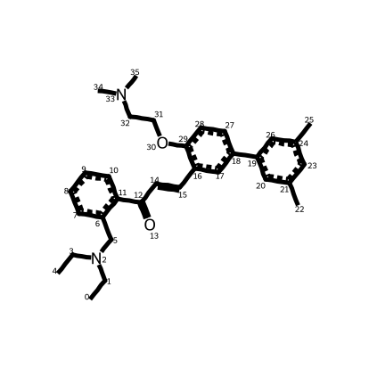 CCN(CC)Cc1ccccc1C(=O)C=Cc1cc(-c2cc(C)cc(C)c2)ccc1OCCN(C)C